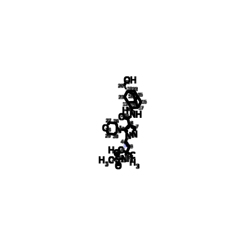 CC(C)(/C=C/n1ncc(C(=O)N[C@H]2C3CC4CC2C[C@](CO)(C4)C3)c1N1CCOCC1)NS(C)(=O)=O